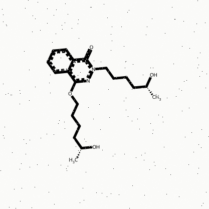 C[C@@H](O)CCCCOc1nn(CCCC[C@@H](C)O)c(=O)c2ccccc12